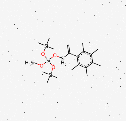 C=C([SiH2]O[Si](O[SiH3])(O[Si](C)(C)C)O[Si](C)(C)C)c1c(C)c(C)c(C)c(C)c1C